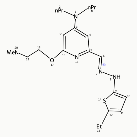 CCCN(CCC)c1cc(/C=N/Nc2ccc(CC)s2)nc(OCCNC)c1